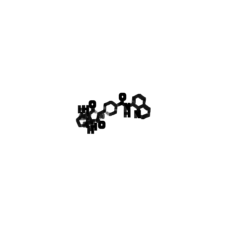 O=C1[C@@H]2[C@@H]3CC[C@@H](C3)[C@@H]2C(=O)[C@@H]1[C@H]1CC[C@H](C(=O)Nc2cccc3cccnc23)CC1